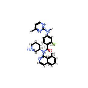 Cc1ccnc(N(C)c2ccc(C(=O)N(c3nccc4cccc(C)c34)[C@@H]3CCCNC3)c(F)c2)n1